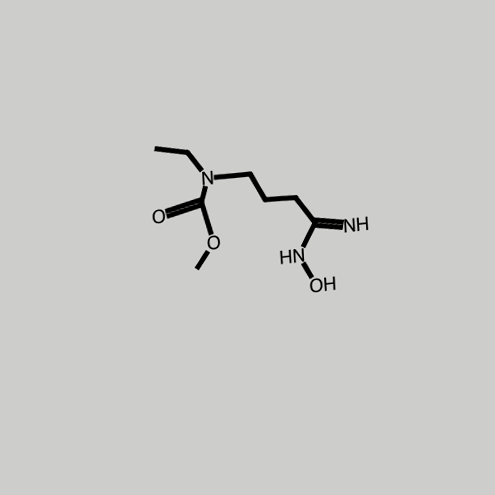 CCN(CCCC(=N)NO)C(=O)OC